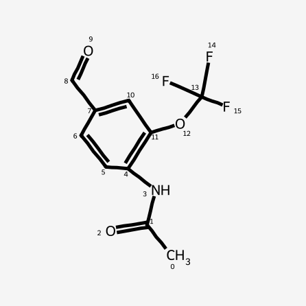 CC(=O)Nc1ccc(C=O)cc1OC(F)(F)F